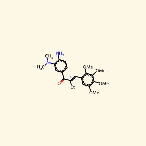 CC/C(=C\c1cc(OC)c(OC)c(OC)c1OC)C(=O)c1ccc(N)c(N(C)C)c1